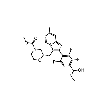 CNC(O)c1cc(F)c(-c2nc3cc(C)ccn3c2C[C@H]2CN(C(=O)OC)CCO2)c(F)c1F